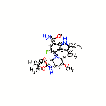 CO[C@H]1C[C@H](NC(=O)OC(C)(C)C)CN(c2c(F)cc(C(N)=O)c3[nH]c(C)c(C)c23)C1